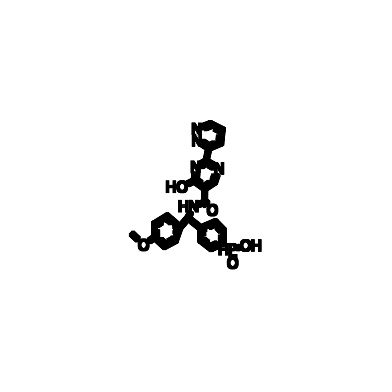 COc1ccc(C(NC(=O)c2cnc(-c3cccnn3)nc2O)c2ccc([PH](=O)O)cc2)cc1